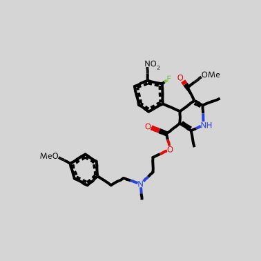 COC(=O)C1=C(C)NC(C)=C(C(=O)OCCN(C)CCc2ccc(OC)cc2)C1c1cccc([N+](=O)[O-])c1F